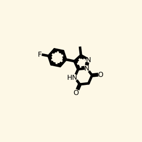 Cc1nn2c(c1-c1ccc(F)cc1)NC(=O)CC2=O